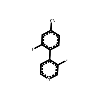 N#Cc1ccc(-c2ccncc2F)c(F)c1